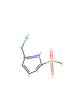 CS(=O)(=O)c1cccc([CH]Br)n1